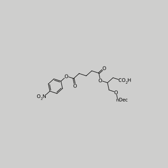 CCCCCCCCCCOCC(CC(=O)O)OC(=O)CCCC(=O)Oc1ccc([N+](=O)[O-])cc1